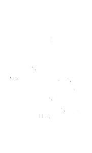 CCc1nc(N)nc2c1C(=O)N[C@@H](c1ccc(F)cc1C1CSC(OC)=N1)C2